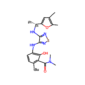 Cc1cc([C@H](Nc2nsnc2Nc2ccc(C(C)(C)C)c(C(=O)N(C)C)c2O)C(C)C)oc1C